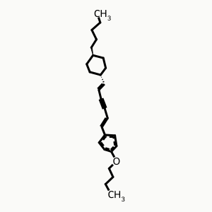 CCCCC[C@H]1CC[C@H](/C=C/C#C/C=C/c2ccc(OCCCC)cc2)CC1